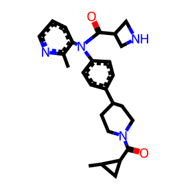 Cc1ncccc1N(C(=O)C1CNC1)c1ccc(C2CCN(C(=O)C3CC3C)CC2)cc1